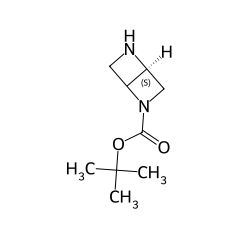 CC(C)(C)OC(=O)N1C[C@@H]2NCC21